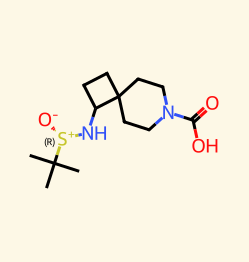 CC(C)(C)[S@+]([O-])NC1CCC12CCN(C(=O)O)CC2